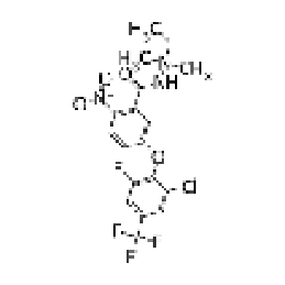 CC[N+](C)(C)NC(=O)c1cc(Oc2c(F)cc(C(F)(F)F)cc2Cl)ccc1[N+](=O)[O-]